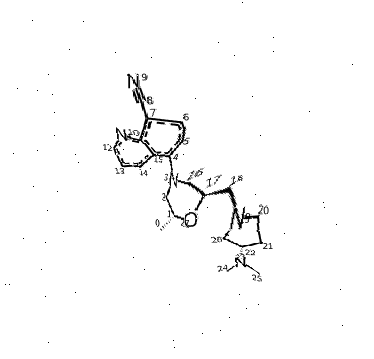 C[C@@H]1CN(c2ccc(C#N)c3ncccc23)C[C@@H](CN2CC[C@H](N(C)C)C2)O1